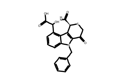 NC(=O)[C@H]1SCC(=O)c2c1c1c(C(O)C(=O)O)cccc1n2Cc1ccccc1